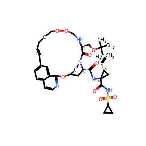 C=C[C@@H]1C[C@]1(NC(=O)[C@@H]1CC2CN1C(=O)[C@H](COC(C)(C)C)NCOOCCC/C=C/c1ccc3ccnc(c3c1)O2)C(=O)NS(=O)(=O)C1CC1